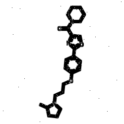 CC1CCCN1CCCOc1ccc(-c2nc(C(=O)N3CCCCC3)co2)cc1